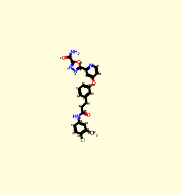 NC(=O)c1nnc(-c2cc(Oc3cccc(CCC(=O)Nc4ccc(Cl)c(C(F)(F)F)c4)c3)ccn2)o1